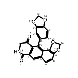 O=C1NCC(=O)c2c1cc1ccc3c(c1c2-c1ccc2c(c1)OCO2)OCO3